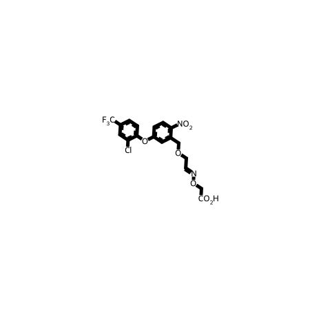 O=C(O)CON=CCOCc1cc(Oc2ccc(C(F)(F)F)cc2Cl)ccc1[N+](=O)[O-]